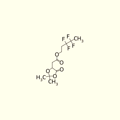 CC1(C)OC(=O)C(CC(=O)OCCC(F)(F)C(C)(F)F)O1